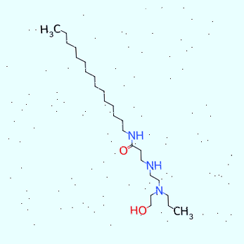 CCCCCCCCCCCCCCCNC(=O)CCNCCN(CCC)CCO